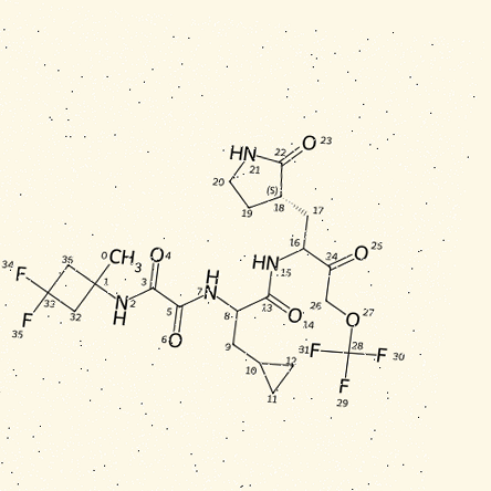 CC1(NC(=O)C(=O)NC(CC2CC2)C(=O)NC(C[C@@H]2CCNC2=O)C(=O)COC(F)(F)F)CC(F)(F)C1